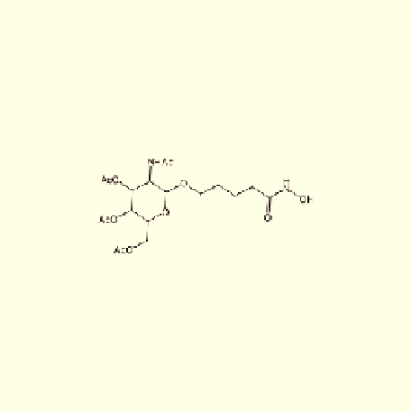 CC(=O)NC1C(OCCCCC(=O)NO)OC(COC(C)=O)C(OC(C)=O)C1OC(C)=O